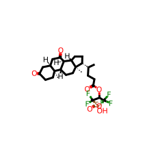 CC(CCC(=O)OC(C(F)(F)F)C(F)(F)S(=O)(=O)O)[C@H]1CC[C@H]2[C@@H]3C(=O)C[C@@H]4CC(=O)CC[C@]4(C)[C@H]3CC[C@]12C